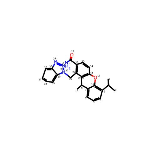 CC(C)c1cccc(C(C)C)c1Oc1ccc(C(N)=O)c(Cn2nnc3ccccc32)c1